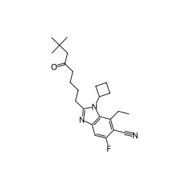 CCc1c(C#N)c(F)cc2nc(CCCCC(=O)CC(C)(C)C)n(C3CCC3)c12